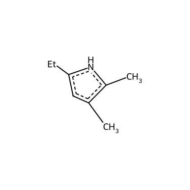 CCc1cc(C)c(C)[nH]1